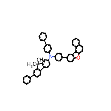 CC1(C)c2cc(-c3ccccc3)ccc2-c2ccc(N(c3ccc(-c4ccccc4)cc3)c3ccc(-c4ccc5oc6ccc7ccccc7c6c5c4)cc3)cc21